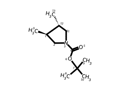 C[C@@H]1CN(C(=O)OC(C)(C)C)C[C@H]1C